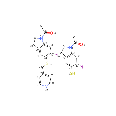 CC(=O)N1CCc2cc(S)c(I)cc21.CC(=O)N1CCc2cc(SCc3ccncc3)c(I)cc21